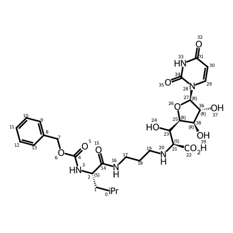 CC(C)C[C@H](NC(=O)OCc1ccccc1)C(=O)NCCCN[C@H](C(=O)O)C(O)[C@H]1O[C@@H](n2ccc(=O)[nH]c2=O)[C@H](O)[C@H]1O